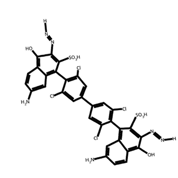 [H]/N=N/c1c(S(=O)(=O)O)c(-c2c(Cl)cc(-c3cc(Cl)c(-c4c(S(=O)(=O)O)c(/N=N/[H])c(O)c5ccc(N)cc45)c(Cl)c3)cc2Cl)c2cc(N)ccc2c1O